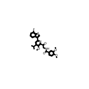 COc1ccc(C(=O)NCC(=O)c2nc(-c3csc4c(F)cccc34)cc(C(C)C)c2OC)cc1OC